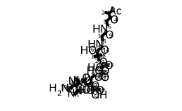 CC(=O)C(C)C(=O)CCNC(=O)CCNC(=O)C(O)C(C)(C)COP(=O)(O)OP(=O)(O)OCC1OC(n2cnc3c(N)ncnc32)C(O)C1OP(=O)(O)O